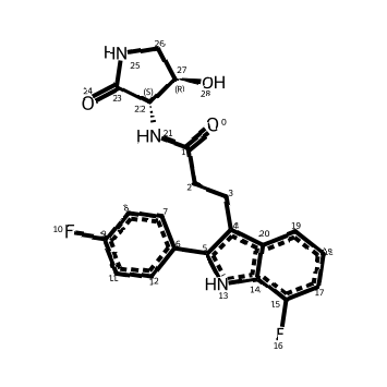 O=C(CCc1c(-c2ccc(F)cc2)[nH]c2c(F)cccc12)N[C@@H]1C(=O)NC[C@H]1O